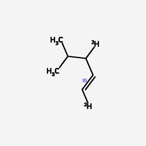 [2H]/C=C/C([2H])C(C)C